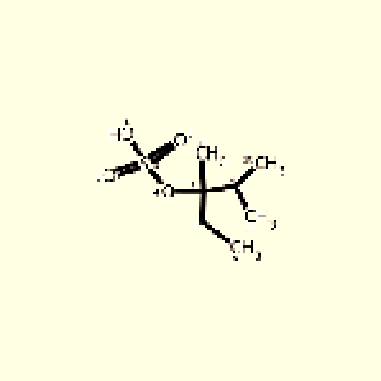 CCC(C)(OS(=O)(=O)O)C(C)C